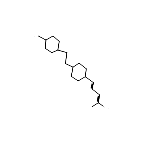 CCC1CCC(CCC2CCC(C=CC=C(F)C#N)CC2)CC1